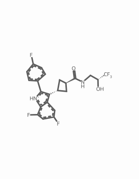 O=C(NC[C@@H](O)C(F)(F)F)[C@H]1C[C@H](c2c(-c3ccc(F)cc3)[nH]c3c(F)cc(F)cc32)C1